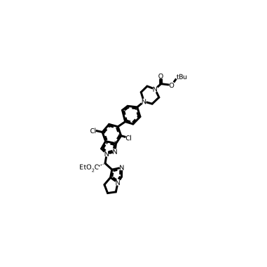 CCOC(=O)[C@@H](c1ncn2c1CCC2)n1cc2c(Cl)cc(-c3ccc(N4CCN(C(=O)OC(C)(C)C)CC4)cc3)c(Cl)c2n1